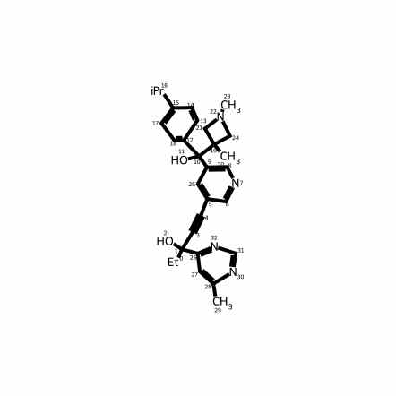 CCC(O)(C#Cc1cncc(C(O)(c2ccc(C(C)C)cc2)C2(C)CN(C)C2)c1)c1cc(C)ncn1